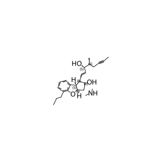 CC#CC[C@H](C)[C@H](O)C=C[C@@H]1[C@H]2c3cccc(CCC)c3O[C@H]2C[C@H]1O.CNC